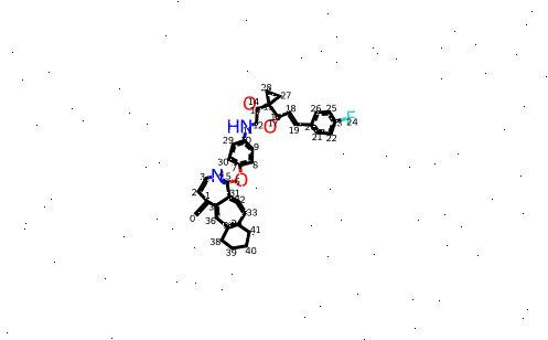 C=C1C=CN=C(Oc2ccc(NCC(=O)C3(C(=O)/C=C/c4ccc(F)cc4)CC3)cc2)C2=C=CC3=C(C=C12)CCCC3